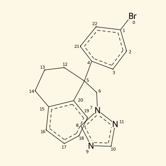 Brc1ccc(C2(Cn3cncn3)CCCc3ccccc32)cc1